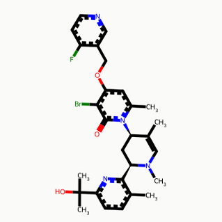 CC1=CN(C)[C@@H](c2nc(C(C)(C)O)ccc2C)C[C@H]1n1c(C)cc(OCc2cnccc2F)c(Br)c1=O